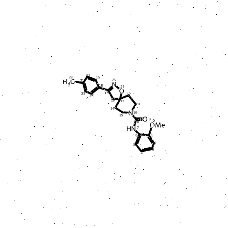 COc1ccccc1NC(=O)N1CCC2(CC1)CC(c1ccc(C)cc1)=NO2